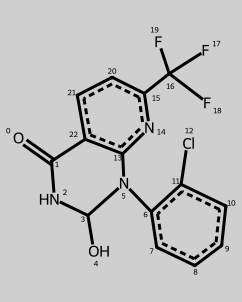 O=C1NC(O)N(c2ccccc2Cl)c2nc(C(F)(F)F)ccc21